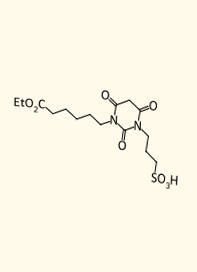 CCOC(=O)CCCCCN1C(=O)CC(=O)N(CCCS(=O)(=O)O)C1=O